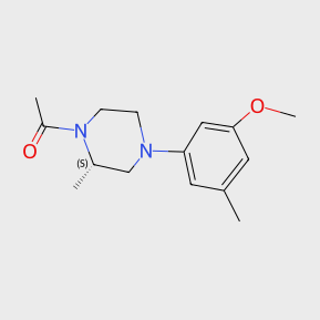 COc1cc(C)cc(N2CCN(C(C)=O)[C@@H](C)C2)c1